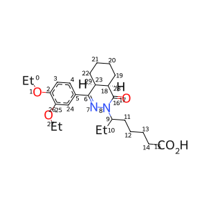 CCOc1ccc(C2=NN(C(CC)CCCCC(=O)O)C(=O)[C@@H]3CCCC[C@H]23)cc1OCC